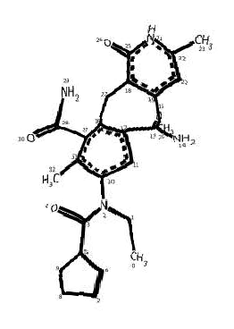 CCN(C(=O)C1CCCC1)c1cc(C(N)=O)c(Cc2c(C)cc(C)[nH]c2=O)c(C(N)=O)c1C